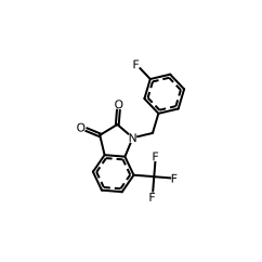 O=C1C(=O)N(Cc2cccc(F)c2)c2c1cccc2C(F)(F)F